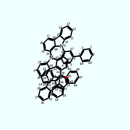 c1ccc(-c2cccc(-n3c4ccccc4c4cccc(-n5c6cccc(-n7c8ccccc8c8ccccc87)c6c6c([Si](c7ccccc7)(c7ccccc7)c7ccccc7)cccc65)c43)c2)cc1